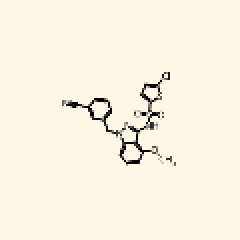 COc1cccc2c1c(NS(=O)(=O)c1ccc(Cl)s1)nn2Cc1cccc(C#N)c1